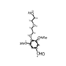 COc1cc(C=O)cc(OC)c1OCCOCCO